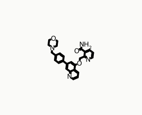 NC(=O)c1cccnc1COc1cc(-c2ccc(CN3CCOCC3)cc2)cc2ncccc12